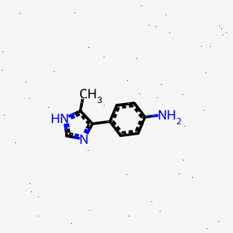 Cc1[nH]cnc1-c1ccc(N)cc1